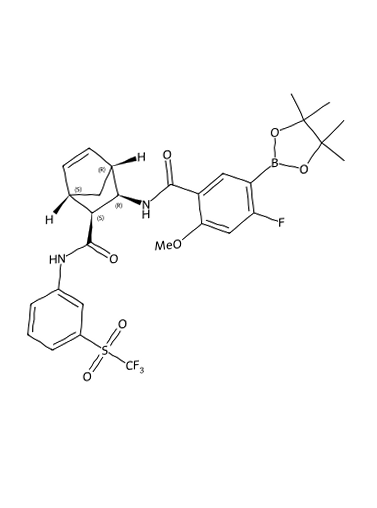 COc1cc(F)c(B2OC(C)(C)C(C)(C)O2)cc1C(=O)N[C@H]1[C@@H](C(=O)Nc2cccc(S(=O)(=O)C(F)(F)F)c2)[C@@H]2C=C[C@H]1C2